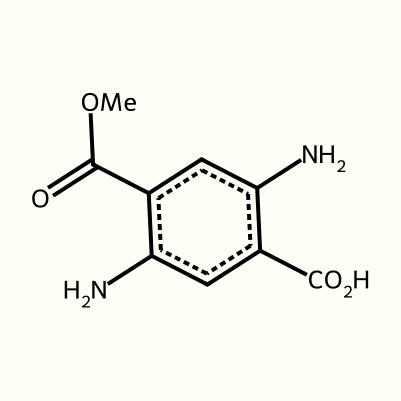 COC(=O)c1cc(N)c(C(=O)O)cc1N